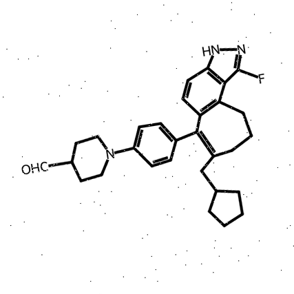 O=CC1CCN(c2ccc(C3=C(CC4CCCC4)CCCc4c3ccc3[nH]nc(F)c43)cc2)CC1